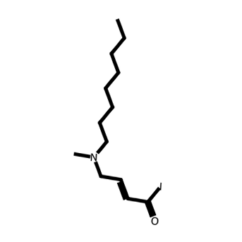 CCCCCCCCN(C)C/C=C/C(=O)I